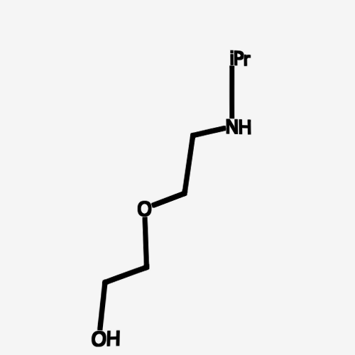 [CH2]C(C)NCCOCCO